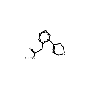 COC(=O)Cc1ccccc1C1=CCOCC1